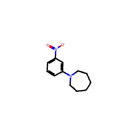 O=[N+]([O-])c1[c]c(N2CCCCCC2)ccc1